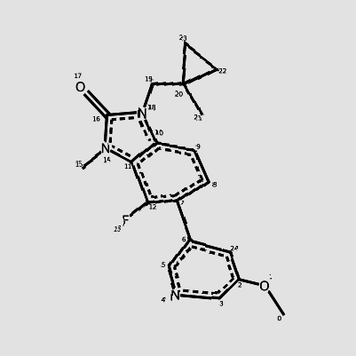 COc1cncc(-c2ccc3c(c2F)n(C)c(=O)n3CC2(C)CC2)c1